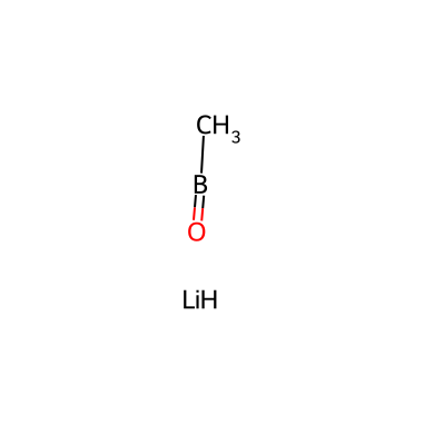 CB=O.[LiH]